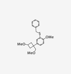 COCC1(c2ccc(OC)c(SCc3ccccc3)c2)CC(OC)C1